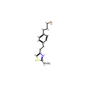 CC(=O)Nc1nc(CCc2ccc(CCCBr)cc2)cs1